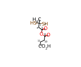 CC(S)(S)CC(=O)OC(=O)CCC(=O)O